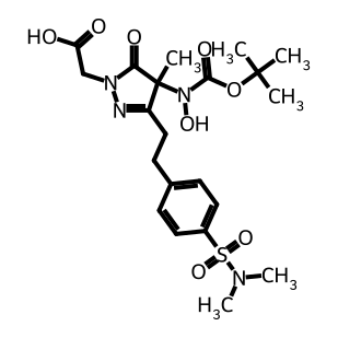 CN(C)S(=O)(=O)c1ccc(CCC2=NN(CC(=O)O)C(=O)C2(C)N(O)C(=O)OC(C)(C)C)cc1